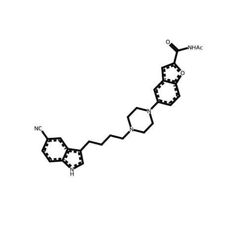 CC(=O)NC(=O)c1cc2cc(N3CCN(CCCCc4c[nH]c5ccc(C#N)cc45)CC3)ccc2o1